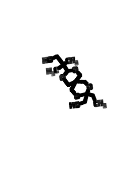 CCC1(CO)OCC2(COC(C(C)(C)CO)OC2)CO1